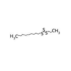 CCCCCCCCCCCCSC(=S)SCCC